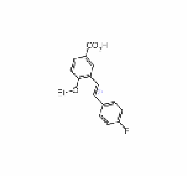 CCOc1ccc(C(=O)O)cc1/C=C/c1ccc(F)cc1